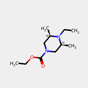 CCOC(=O)N1C[C@@H](C)N(CC)[C@@H](C)C1